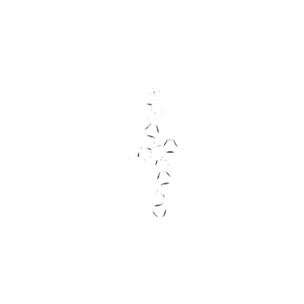 COC(=O)CC1C(=O)N(Cc2ccc(/N=C/c3ccccc3)cc2)c2ccccc2N(c2ccc(CNC(=O)OC(C)(C)C)cc2)C1=O